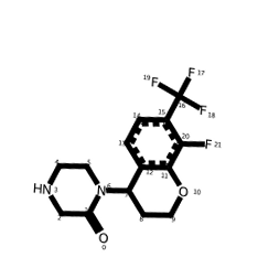 O=C1CNCCN1C1CCOc2c1ccc(C(F)(F)F)c2F